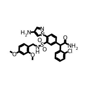 COc1ccc(CNS(=O)(=O)c2cc(C(C(N)=O)c3ccccc3Cl)ccc2-n2cc(N)cn2)c(OC)c1